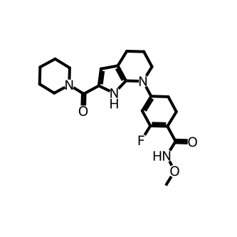 CONC(=O)C1=C(F)C=C(N2CCCc3cc(C(=O)N4CCCCC4)[nH]c32)CC1